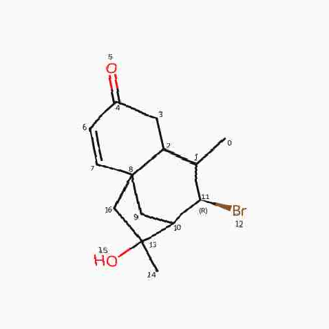 CC1C2CC(=O)C=CC23CC([C@@H]1Br)C(C)(O)C3